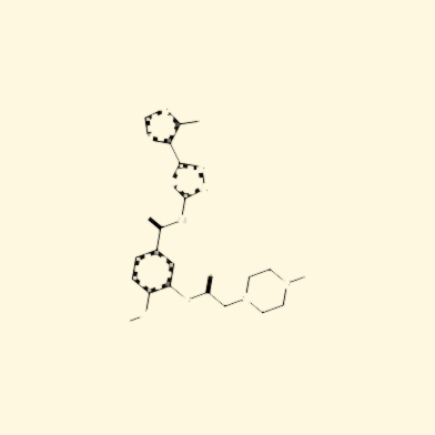 Cc1ncsc1-c1nnc(NC(=O)c2ccc(OC(F)(F)F)c(NC(=O)CN3CCN(C)CC3)c2)s1